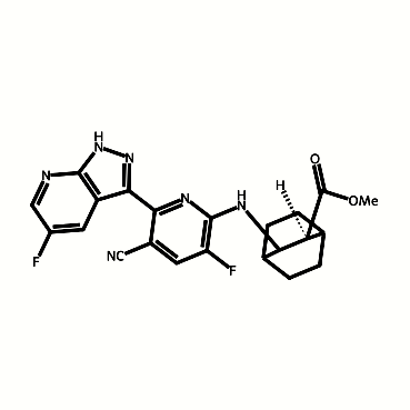 COC(=O)[C@H]1C2CCC(CC2)C1Nc1nc(-c2n[nH]c3ncc(F)cc23)c(C#N)cc1F